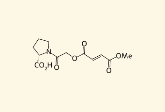 COC(=O)C=CC(=O)OCC(=O)N1CCC[C@H]1C(=O)O